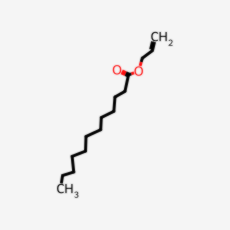 C=CCOC(=O)CCCCCCCCCCC